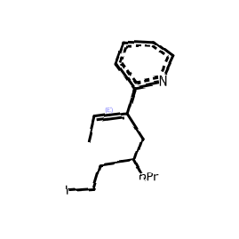 C/C=C(\CC(CCC)CCI)c1ccccn1